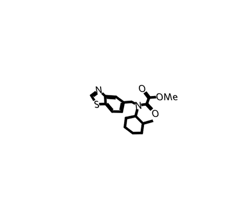 COC(=O)C(=O)N(Cc1ccc2scnc2c1)C1CCCCC1C